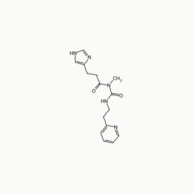 CN(C(=O)[CH]Cc1c[nH]cn1)C(=O)NCCc1ccccn1